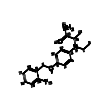 CCN(c1ccc(OCc2ccccc2F)cc1)C(C)C(N)=O